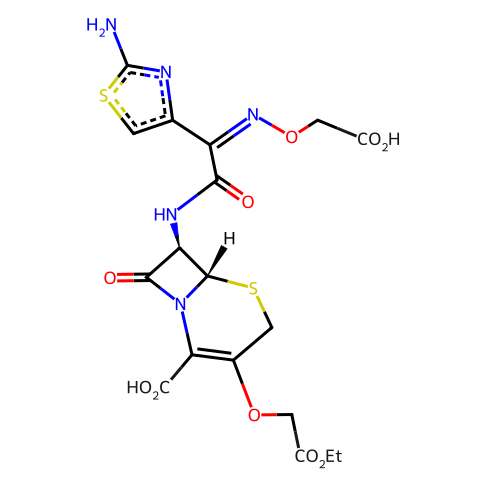 CCOC(=O)COC1=C(C(=O)O)N2C(=O)[C@@H](NC(=O)/C(=N\OCC(=O)O)c3csc(N)n3)[C@@H]2SC1